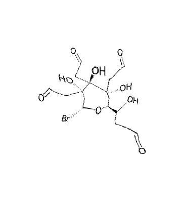 O=CCC(O)[C@H]1O[C@H](Br)[C@@](O)(CC=O)[C@](O)(CC=O)[C@@]1(O)CC=O